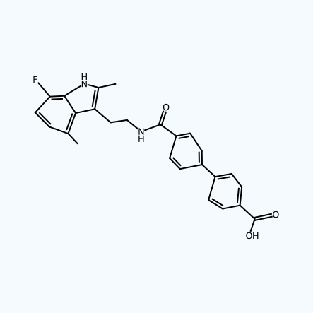 Cc1[nH]c2c(F)ccc(C)c2c1CCNC(=O)c1ccc(-c2ccc(C(=O)O)cc2)cc1